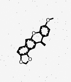 C=C1c2ccc(OC)cc2Oc2cc3ccc4c(c3cc21)OCO4